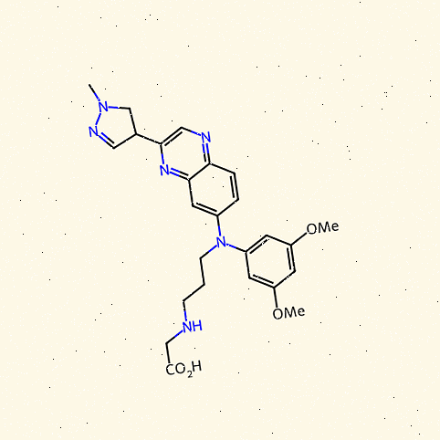 COc1cc(OC)cc(N(CCCNCC(=O)O)c2ccc3ncc(C4C=NN(C)C4)nc3c2)c1